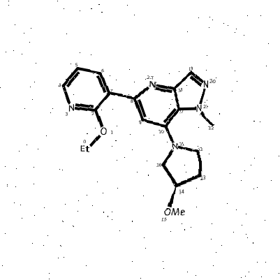 CCOc1ncccc1-c1cc(N2CC[C@@H](OC)C2)c2c(cnn2C)n1